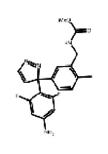 COC(=O)NCc1cc(C2(c3c(F)cc(N)cc3F)C=CN=N2)ccc1C